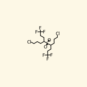 O=S(=O)(C(CCCCl)CCC(F)(F)F)C(CCCCl)CCC(F)(F)F